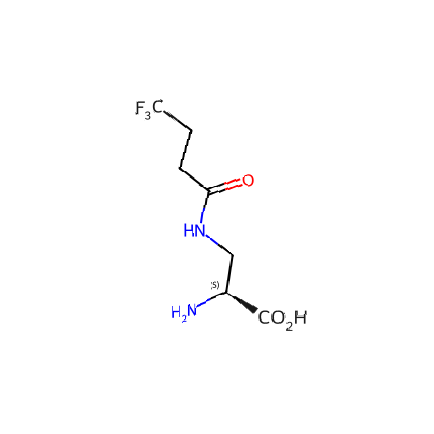 N[C@@H](CNC(=O)CCC(F)(F)F)C(=O)O